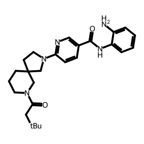 CC(C)(C)CC(=O)N1CCCC2(CCN(c3ccc(C(=O)Nc4ccccc4N)cn3)C2)C1